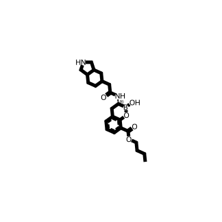 CCCCOC(=O)c1cccc2c1OB(O)[C@@H](NC(=O)CC1CCC3CNCC3C1)C2